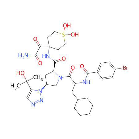 CC(C)(O)c1cnnn1[C@H]1C[C@@H](C(=O)NC2(C(=O)C(N)=O)CCS(O)(O)CC2)N(C(=O)C(CC2CCCCC2)NC(=O)c2ccc(Br)cc2)C1